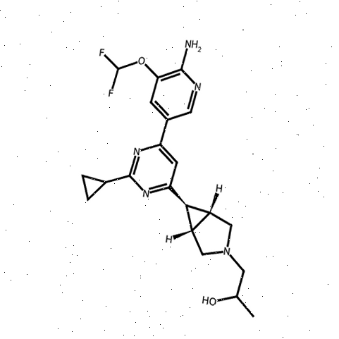 CC(O)CN1C[C@@H]2[C@H](C1)[C@H]2c1cc(-c2cnc(N)c(OC(F)F)c2)nc(C2CC2)n1